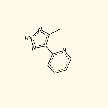 Cc1n[nH]nc1-c1ccccn1